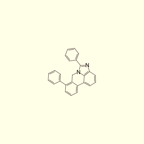 c1ccc(-c2cccc3c2Cn2c(-c4ccccc4)nc4cccc-3c42)cc1